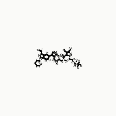 C=Cc1nn(C2CCCCO2)c2ccc(-c3cnn(C)c3CN(C)CCN(C)C(=O)c3c(I)c(C)nn3CCO[Si](C)(C)C(C)(C)C)cc12